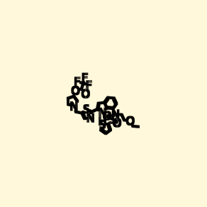 CCOCCN(c1cccc2cc(-c3ncc(CN4CCC(OC(=O)C(F)(F)F)C4)s3)[nH]c12)S(=O)(=O)c1cccs1